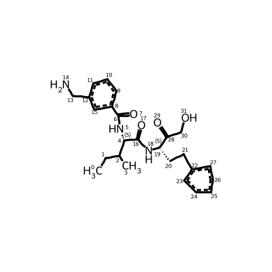 CCC(C)[C@H](NC(=O)c1cccc(CN)c1)C(=O)N[C@@H](CCc1ccccc1)C(=O)CO